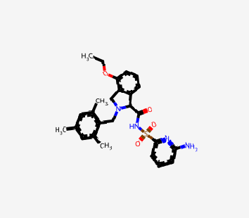 CCOc1cccc2c1CN(Cc1c(C)cc(C)cc1C)C2C(=O)NS(=O)(=O)c1cccc(N)n1